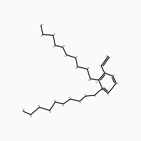 C=Cc1cccc(CCCCCCCCCC)c1CCCCCCCCCC